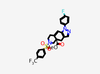 COC(=O)[C@]12Cc3cnn(-c4ccc(F)cc4)c3C=C1CCN(S(=O)(=O)c1ccc(C(F)(F)F)cc1)C2